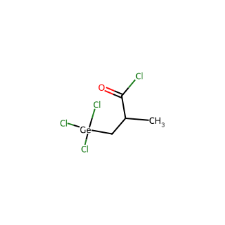 CC([CH2][Ge]([Cl])([Cl])[Cl])C(=O)Cl